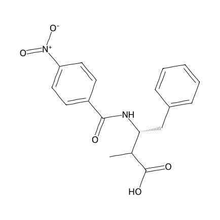 CC(C(=O)O)[C@@H](Cc1ccccc1)NC(=O)c1ccc([N+](=O)[O-])cc1